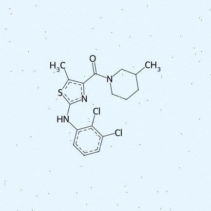 Cc1sc(Nc2cccc(Cl)c2Cl)nc1C(=O)N1CCCC(C)C1